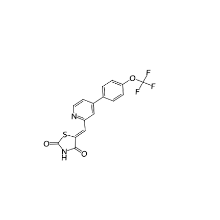 O=C1NC(=O)C(=Cc2cc(-c3ccc(OC(F)(F)F)cc3)ccn2)S1